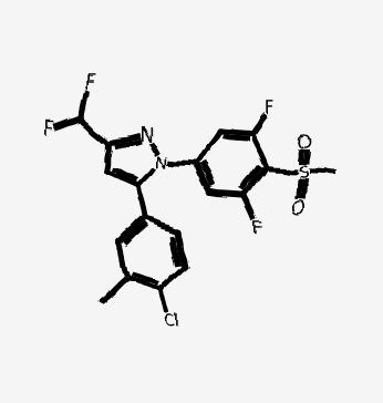 Cc1cc(-c2cc(C(F)F)nn2-c2cc(F)c(S(C)(=O)=O)c(F)c2)ccc1Cl